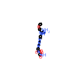 Nc1ncnc2c1c(-c1ccc(Oc3ccccc3)cc1)nn2C1CCC2(CC1)CN(C1CN(C3CN(C4=CCC5C(=O)N(C6CCC(=O)NC6=O)C(=O)C5=C4)C3)C1)C2